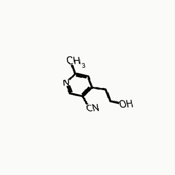 Cc1cc(CCO)c(C#N)cn1